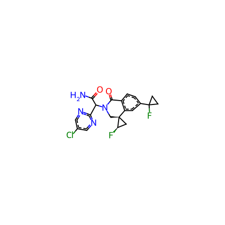 NC(=O)C(c1ncc(Cl)cn1)N1C[C@]2(C[C@H]2F)c2cc(C3(F)CC3)ccc2C1=O